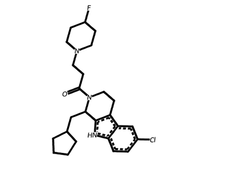 O=C(CCN1CCC(F)CC1)N1CCc2c([nH]c3ccc(Cl)cc23)C1CC1CCCC1